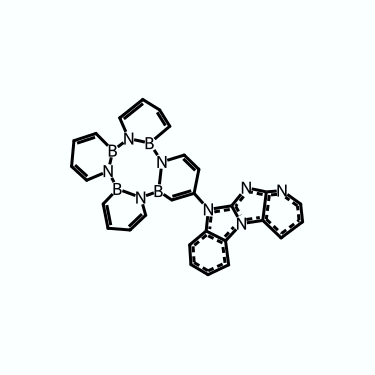 C1=CB2N(C=C1)B1C=CC=CN1B1C=C(n3c4ccccc4n4c5cccnc5nc34)C=CN1B1C=CC=CN21